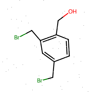 OCc1ccc(CBr)cc1CBr